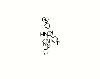 C[S+]([O-])c1ccc(-c2nc(-c3ccc(F)cc3)c(-c3ccnc(Oc4ccccc4)n3)[nH]2)cc1